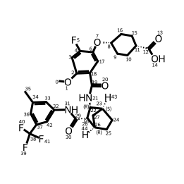 COc1cc(F)c(O[C@H]2CC[C@@H](C(=O)O)CC2)cc1C(=O)N[C@@H]1[C@H]2CC[C@H](C2)[C@@H]1C(=O)Nc1cc(C)cc(C(F)(F)F)c1